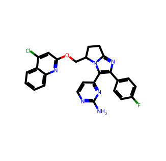 Nc1nccc(-c2c(-c3ccc(F)cc3)nc3n2C(COc2cc(Cl)c4ccccc4n2)CC3)n1